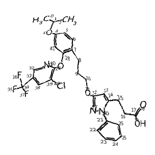 CC(C)Oc1ccc(CCCOc2cc(CCC(=O)O)n(-c3ccccc3)n2)c(Oc2ncc(C(F)(F)F)cc2Cl)c1